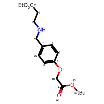 CCOC(=O)CCNCc1ccc(OCC(=O)OC(C)(C)C)cc1